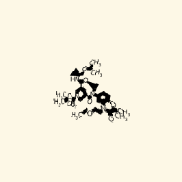 CCOCCN1C(=O)C(C)(C)Oc2ccc(N(C(=O)[C@@H]3C[C@H](C(=O)NC4(COC(C)C)CC4)CN(C(=O)OC(C)(C)C)C3)C3CC3)cc21